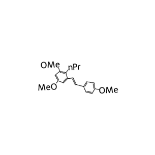 CCCc1c(C=Cc2ccc(OC)cc2)cc(OC)cc1OC